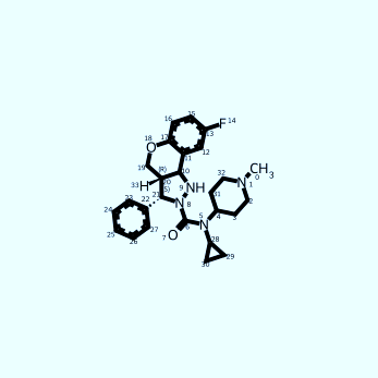 CN1CCC(N(C(=O)N2NC3c4cc(F)ccc4OC[C@H]3[C@H]2c2ccccc2)C2CC2)CC1